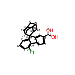 OB(O)c1ccc2c(c1)C1(c3cccc(Cl)c3-2)C2CC3CC(C2)CC1C3